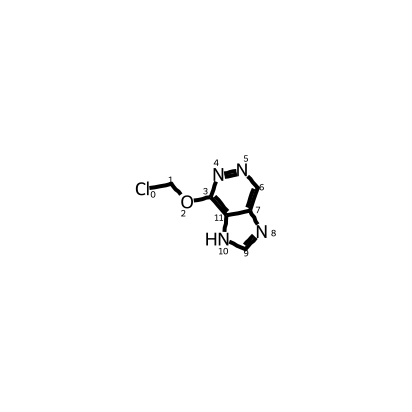 ClCOc1nncc2nc[nH]c12